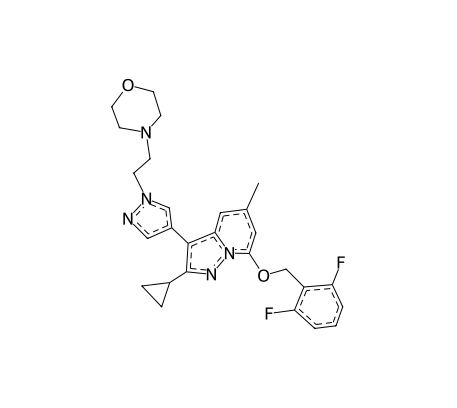 Cc1cc(OCc2c(F)cccc2F)n2nc(C3CC3)c(-c3cnn(CCN4CCOCC4)c3)c2c1